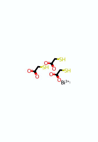 O=C([O-])CS.O=C([O-])CS.O=C([O-])CS.[Bi+3]